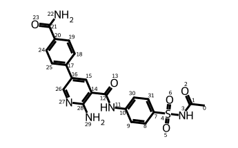 CC(=O)NS(=O)(=O)c1ccc(NC(=O)c2cc(-c3ccc(C(N)=O)cc3)cnc2N)cc1